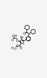 COC(=O)c1sc(-c2cccc(N(C(=O)C3CCCCC3)C3CCCCC3)c2)c(Br)c1OCC(=O)O